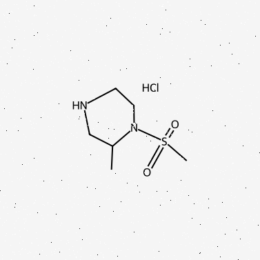 CC1CNCCN1S(C)(=O)=O.Cl